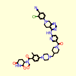 Cc1cc(N2CCN(CC3CCN(C(=O)c4ccc(Nc5ncnc6c5CCN(c5ccc(C#N)c(Cl)c5)C6)nc4)CC3)CC2)ccc1C(=O)N(C=O)C1CCC(=O)NC1=O